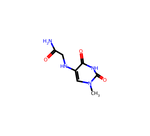 Cn1cc(NCC(N)=O)c(=O)[nH]c1=O